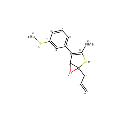 C=CCC12OC1C(c1cccc(SCCCC)c1)=C(NC)S2